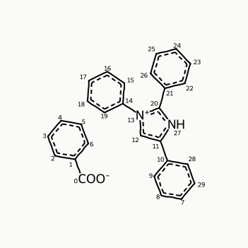 O=C([O-])c1ccccc1.c1ccc(-c2c[n+](-c3ccccc3)c(-c3ccccc3)[nH]2)cc1